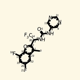 Cc1c([C@@H](NC(=O)Nc2cncnc2)C(F)(F)F)oc2c(F)cc(F)cc12